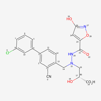 N#Cc1cc(-c2cccc(Cl)c2)ccc1CN(C[C@@H](O)C(=O)O)NC(=O)c1cc(O)no1